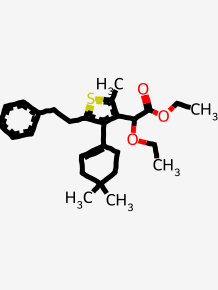 CCOC(=O)C(OCC)c1c(C)sc(CCc2ccccc2)c1C1=CCC(C)(C)CC1